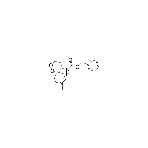 O=C(NC1CCOOC12CCNCC2)OCc1ccccc1